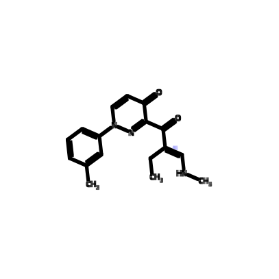 CC/C(=C\NC)C(=O)c1nn(-c2cccc(C)c2)ccc1=O